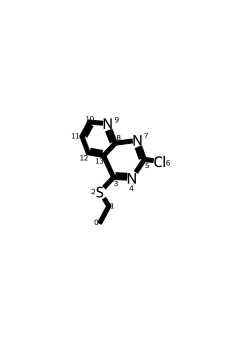 CCSc1nc(Cl)nc2ncccc12